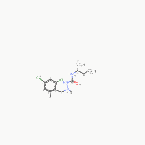 Cc1cc(Cl)cc(Cl)c1CN(C)NC(=O)N[C@@H](CC(=O)O)C(=O)O